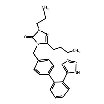 CCCCc1nn(CCC)c(=O)n1Cc1ccc(-c2ccccc2-c2nnn[nH]2)cc1